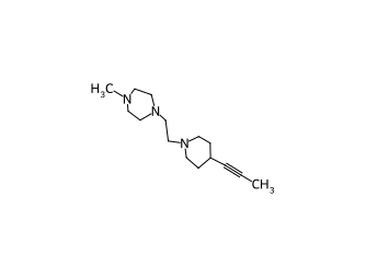 CC#CC1CCN(CCN2CCN(C)CC2)CC1